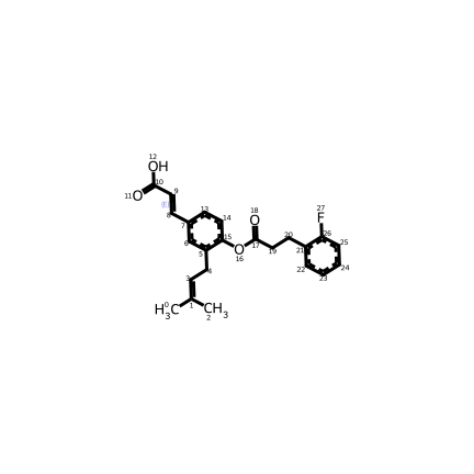 CC(C)=CCc1cc(/C=C/C(=O)O)ccc1OC(=O)CCc1ccccc1F